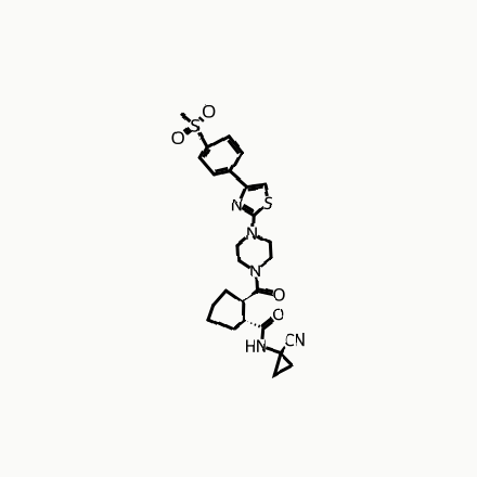 CS(=O)(=O)c1ccc(-c2csc(N3CCN(C(=O)[C@@H]4CCCC[C@H]4C(=O)NC4(C#N)CC4)CC3)n2)cc1